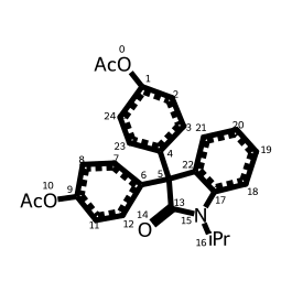 CC(=O)Oc1ccc(C2(c3ccc(OC(C)=O)cc3)C(=O)N(C(C)C)c3ccccc32)cc1